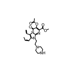 C=Cc1c(/C=C\C)n(CCN2CCNCC2)c2nc(C(=O)OC)c(OC(C)=O)c(=O)n12